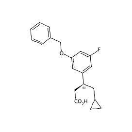 O=C(O)C[C@H](CC1CC1)c1cc(F)cc(OCc2ccccc2)c1